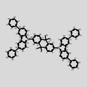 CC1(C)c2ccc(-n3c4ccc(-c5ccccc5)cc4c4cc(-c5ccccc5)ccc43)cc2C(C)(C)c2ccc(-n3c4ccc(-c5ccccc5)cc4c4cc(-c5ccccc5)ccc43)cc21